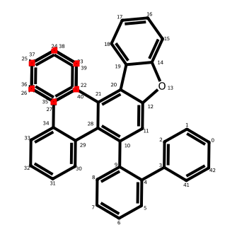 c1ccc(-c2ccccc2-c2cc3oc4ccccc4c3c(-c3ccnnn3)c2-c2ccccc2-c2ccccc2)cc1